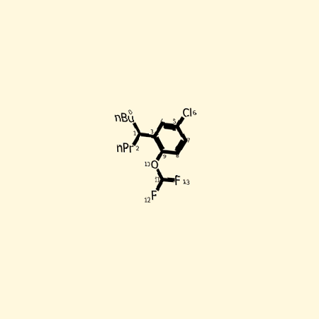 CCCCC(CCC)c1cc(Cl)ccc1OC(F)F